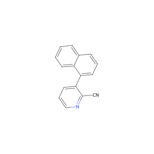 N#Cc1ncccc1-c1cc[c]c2ccccc12